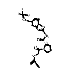 CC(C)NCC(=O)N1CCC[C@H]1C(=O)Nc1nc2ccc(OC(F)(F)F)cc2s1